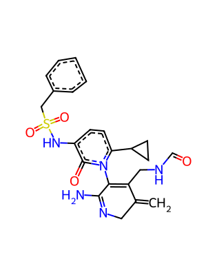 C=C1CN=C(N)C(n2c(C3CC3)ccc(NS(=O)(=O)Cc3ccccc3)c2=O)=C1CNC=O